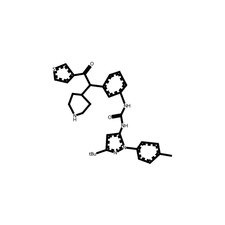 Cc1ccc(-n2nc(C(C)(C)C)cc2NC(=O)Nc2cccc(C(C(=O)c3ccsc3)C3CCNCC3)c2)cc1